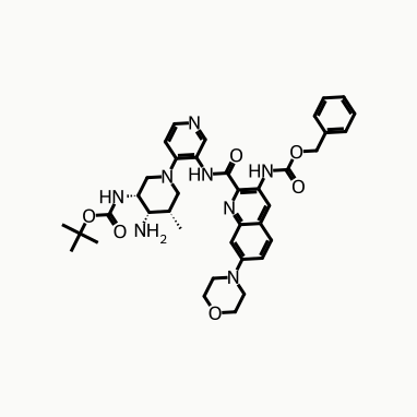 C[C@H]1CN(c2ccncc2NC(=O)c2nc3cc(N4CCOCC4)ccc3cc2NC(=O)OCc2ccccc2)C[C@@H](NC(=O)OC(C)(C)C)[C@H]1N